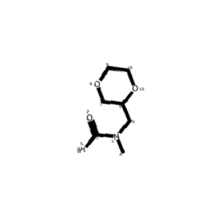 CC(C)C(=O)N(C)CC1COCCO1